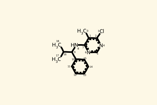 Cc1c(Cl)ncnc1NC(c1ccccc1)C(C)C